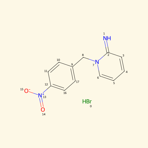 Br.N=c1ccccn1Cc1ccc([N+](=O)[O-])cc1